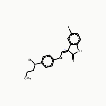 CCN(CCOC)c1ccc(N/C=C2\C(=O)Nc3ccc(F)cc32)cc1